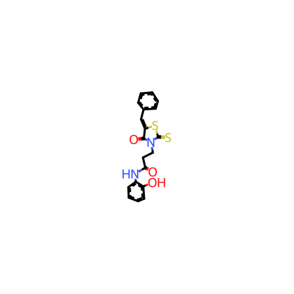 O=C(CCN1C(=O)/C(=C/c2ccccc2)SC1=S)Nc1ccccc1O